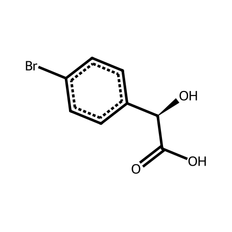 O=C(O)[C@H](O)c1ccc(Br)cc1